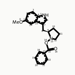 COc1ccc2[nH]cc(C[C@H]3CCCN3OC(=O)c3ccccc3)c2c1